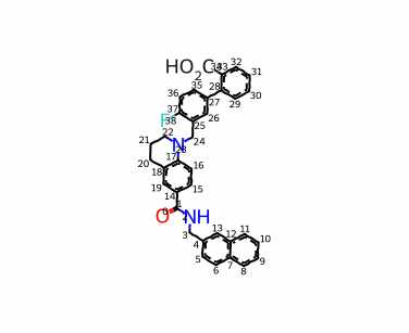 O=C(NCc1ccc2ccccc2c1)c1ccc2c(c1)CCCN2Cc1cc(-c2ccccc2C(=O)O)ccc1F